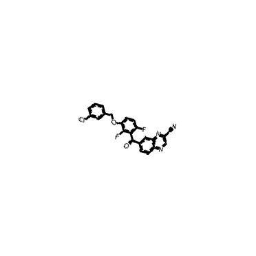 N#Cc1cnc2ccc(C(=O)c3c(F)ccc(OCc4cccc(Cl)c4)c3F)cc2n1